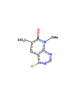 CCOC(=O)c1cc2c(Cl)ncnc2n(OC)c1=O